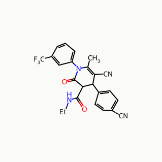 CCNC(=O)C1C(=O)N(c2cccc(C(F)(F)F)c2)C(C)=C(C#N)C1c1ccc(C#N)cc1